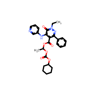 CCn1nc(-c2ccccc2)c(C(=O)OC(C)OC(=O)OC2CCCCC2)c(Nc2cccnc2)c1=O